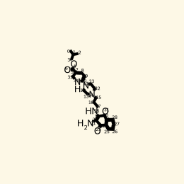 CC(C)COC(=O)C1=CC=C(N2CCN(CCCNC3=C(N)C(=O)c4ccccc4C3=O)CC2)NC1